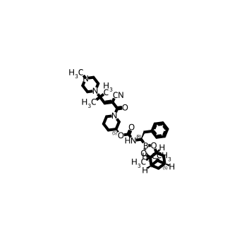 CN1CCN(C(C)(C)C=C(C#N)C(=O)N2CCC[C@H](OC(=O)N[C@@H](Cc3ccccc3)B3O[C@@H]4C[C@@H]5C[C@@H](C5(C)C)[C@]4(C)O3)C2)CC1